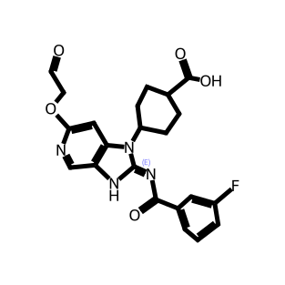 O=CCOc1cc2c(cn1)[nH]/c(=N\C(=O)c1cccc(F)c1)n2C1CCC(C(=O)O)CC1